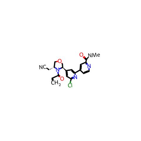 C=CC(=O)N1[C@H](CC#N)COC[C@H]1c1cc(Cl)nc(-c2ccnc(C(=O)NC)c2)c1